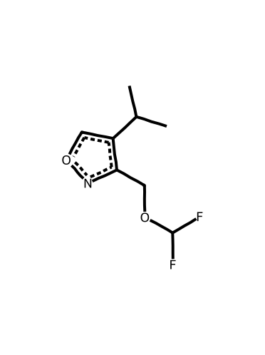 CC(C)c1conc1COC(F)F